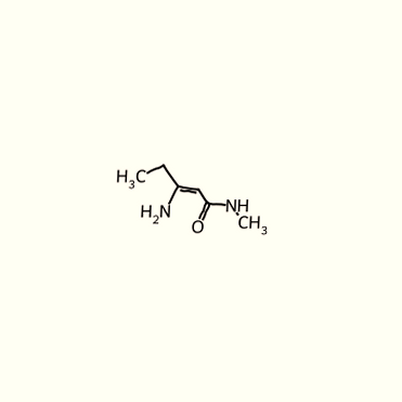 CC/C(N)=C/C(=O)NC